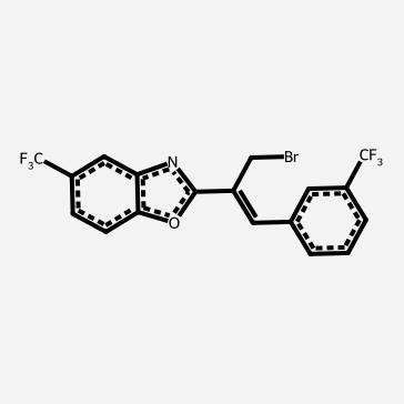 FC(F)(F)c1cccc(C=C(CBr)c2nc3cc(C(F)(F)F)ccc3o2)c1